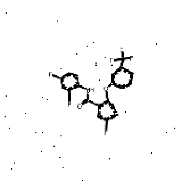 O=C(Nc1ccc(F)cc1F)c1cc(F)ccc1Oc1cccc(C(F)(F)F)c1